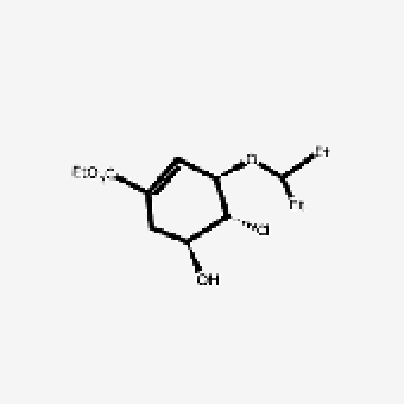 CCOC(=O)C1=C[C@@H](OC(CC)CC)[C@H](Cl)[C@@H](O)C1